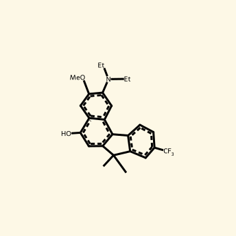 CCN(CC)c1cc2c3c(cc(O)c2cc1OC)C(C)(C)c1cc(C(F)(F)F)ccc1-3